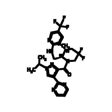 CC(C)n1cc(-c2ncccn2)c(C(=O)N2CC(F)(F)C[C@@H](C)[C@H]2CNc2ncc(C(F)(F)F)cn2)n1